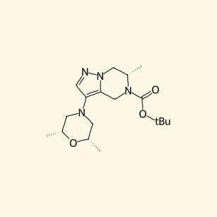 C[C@@H]1CN(c2cnn3c2CN(C(=O)OC(C)(C)C)[C@@H](C)C3)C[C@H](C)O1